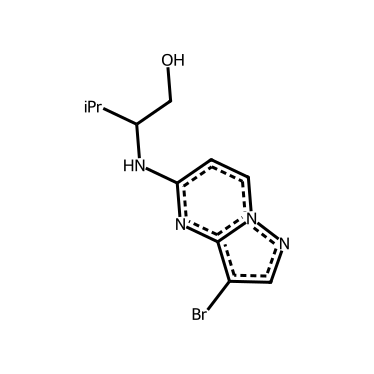 CC(C)C(CO)Nc1ccn2ncc(Br)c2n1